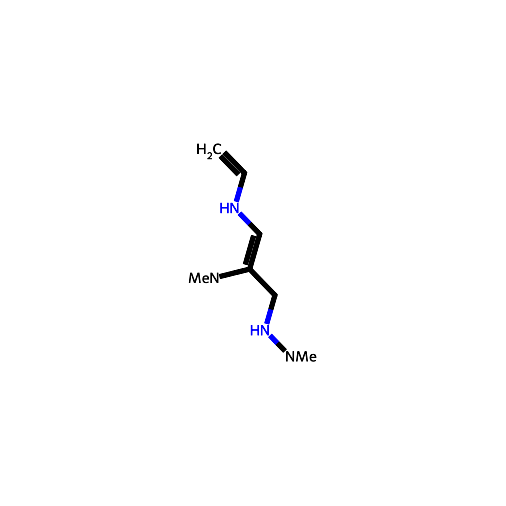 C=CN/C=C(/CNNC)NC